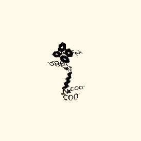 O=C([O-])CN(CCCCCCCCN(CC(=O)[O-])CC(=O)[O-])CC(=O)[O-].[Fe+3].c1ccc([P+](c2ccccc2)(c2ccccc2)c2ccccc2)cc1